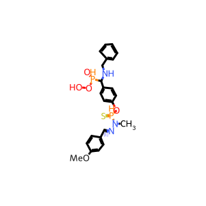 COc1ccc(/C=N/N(C)[PH](=S)Oc2ccc(C(NCc3ccccc3)[PH](=O)OO)cc2)cc1